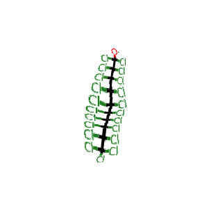 [O]C(Cl)(Cl)C(Cl)(Cl)C(Cl)(Cl)C(Cl)(Cl)C(Cl)(Cl)C(Cl)(Cl)C(Cl)(Cl)C(Cl)(Cl)C(Cl)(Cl)C(Cl)(Cl)Cl